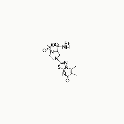 CCNC(=O)C1CN(c2nn3c(C)c(C)c(=O)nc3s2)CCN1S(C)(=O)=O